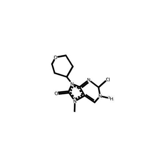 [2H]N1C=c2c(n(C3CCOCC3)c(=O)n2C)=NC1Cl